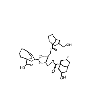 CC1CC2CC(O)CC(C(=O)OCC3OC(C4CC5CCCC(C(=O)O)(C5)C4)OC3COC(=O)C34CCCC(CC(CO)C3)C4)(C1)C2